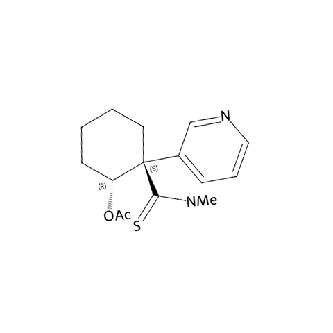 CNC(=S)[C@]1(c2cccnc2)CCCC[C@H]1OC(C)=O